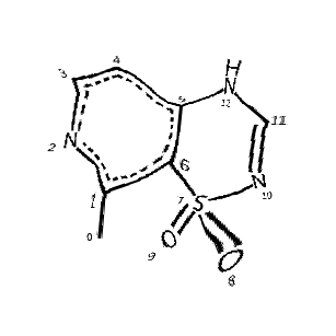 Cc1nccc2c1S(=O)(=O)N=CN2